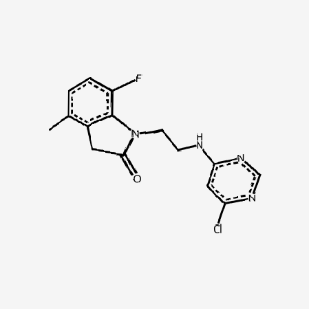 Cc1ccc(F)c2c1CC(=O)N2CCNc1cc(Cl)ncn1